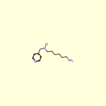 CCN(CCCCCCN)Cc1ccncc1